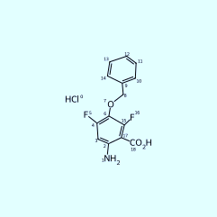 Cl.Nc1cc(F)c(OCc2ccccc2)c(F)c1C(=O)O